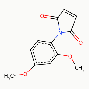 COc1ccc(N2C(=O)C=CC2=O)c(OC)c1